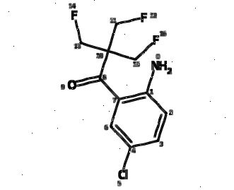 Nc1ccc(Cl)cc1C(=O)C(CF)(CF)CF